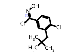 CC(C)(C)[CH]c1cc(/C(Cl)=N\O)ccc1Cl